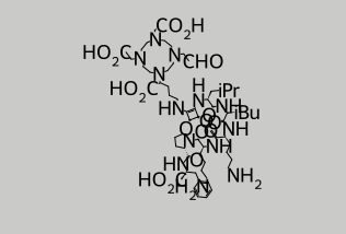 CC[C@H](C)[C@H](NC(=O)[C@H](CC(C)C)Nc1c(NCCCC(C(=O)O)N2CCN(CC=O)CCN(CC(=O)O)CCN(CC(=O)O)CC2)c(=O)c1=O)C(=O)N[C@@H](CCCCN)C(=O)N[C@@H](CCCCN)C(=O)N1CCC[C@H]1C(=O)N[C@@H](Cc1ccccc1)C(=O)O